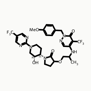 COc1ccc(Cn2ncc(NC(C)COC3CCN([C@H]4CCN(c5ncc(C(F)(F)F)cn5)C[C@H]4O)C3=O)c(C(F)(F)F)c2=O)cc1